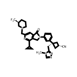 Cn1cnnc1C[C@]1(c2cccc(N3Cc4c(cc(CN5CCC[C@H](C(F)(F)F)C5)nc4C4CC4)C3=O)c2)C[C@H](C#N)C1